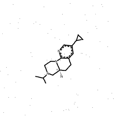 CC(C)N1CCN2c3ncc(C4CC4)cc3CC[C@H]2C1